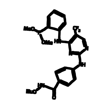 COP(OC)c1ccccc1Nc1nc(Nc2ccc(C(=O)NOCC(C)C)cc2)ncc1C(F)(F)F